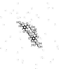 Cc1c(NC(=O)CO)c(I)c(C(=O)N(C)CC(O)CO)c(I)c1C(=O)NCCCNC(=O)c1c(I)c(NC(=O)C(O)C(O)CO)c(I)c(C(=O)N(C)CC(O)CO)c1I